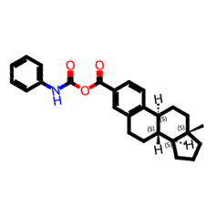 C[C@@]12CCC[C@H]1[C@@H]1CCc3cc(C(=O)OC(=O)Nc4ccccc4)ccc3[C@H]1CC2